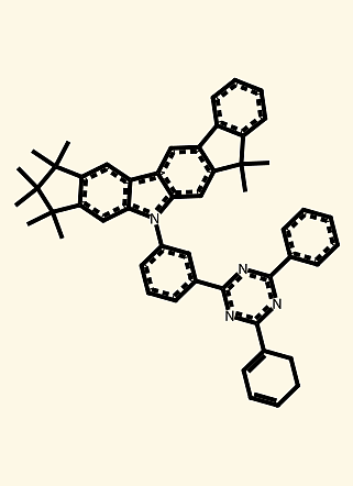 CC1(C)c2ccccc2-c2cc3c4cc5c(cc4n(-c4cccc(-c6nc(C7=CC=CCC7)nc(-c7ccccc7)n6)c4)c3cc21)C(C)(C)C(C)(C)C5(C)C